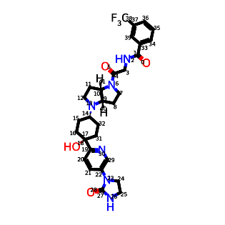 O=C(NCC(=O)N1CC[C@H]2[C@@H]1CCN2[C@H]1CC[C@@](O)(c2ccc(N3CCNC3=O)cn2)CC1)c1cccc(C(F)(F)F)c1